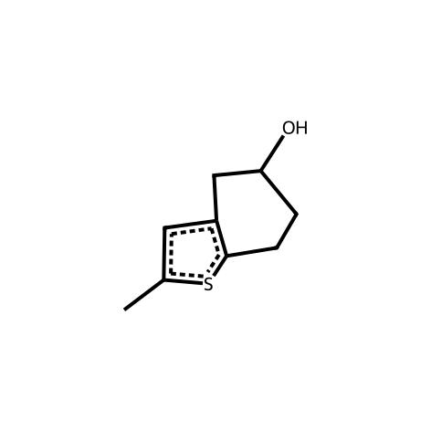 Cc1cc2c(s1)CCC(O)C2